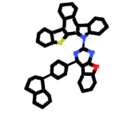 c1ccc2c(-c3ccc(-c4nc(-n5c6ccccc6c6c7ccccc7c7c8ccccc8sc7c65)nc5oc6ccccc6c45)cc3)cccc2c1